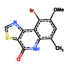 COc1cc(C)c2[nH]c(=O)c3scnc3c2c1Br